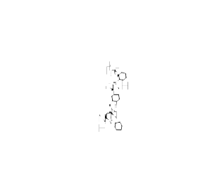 CNc1cc(N2Cc3ccc(C(=O)NCc4ccccc4OC(F)(F)F)cc3C2)nc(-c2ccccc2)n1